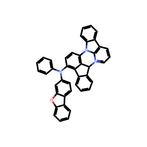 c1ccc(N(c2ccc3c(c2)oc2ccccc23)c2ccc3c4c2-c2ccccc2C4[n+]2cccc4c5ccccc5n-3c42)cc1